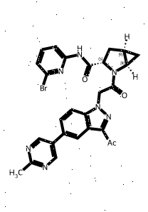 CC(=O)c1nn(CC(=O)N2[C@@H]3C[C@@H]3C[C@H]2C(=O)Nc2cccc(Br)n2)c2ccc(-c3cnc(C)nc3)cc12